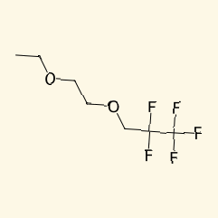 CCOCCOCC(F)(F)C(F)(F)F